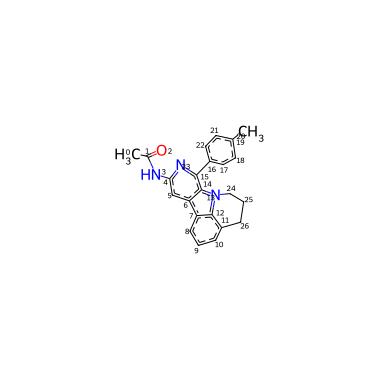 CC(=O)Nc1cc2c3cccc4c3n(c2c(-c2ccc(C)cc2)n1)CCC4